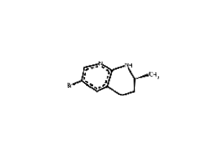 C[C@H]1CCc2cc(Br)cnc2N1